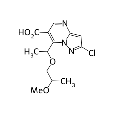 COC(C)COC(C)c1c(C(=O)O)cnc2cc(Cl)nn12